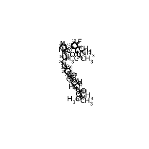 CC(C)N(C(=O)c1cc(F)ccc1Oc1cncnc1N1CC[C@@H](CN2CC3(CCN(S(=O)(=O)N4C[C@H]5CN(C(=O)OC(C)(C)C)C[C@H]5C4)CC3)C2)C1)C(C)C